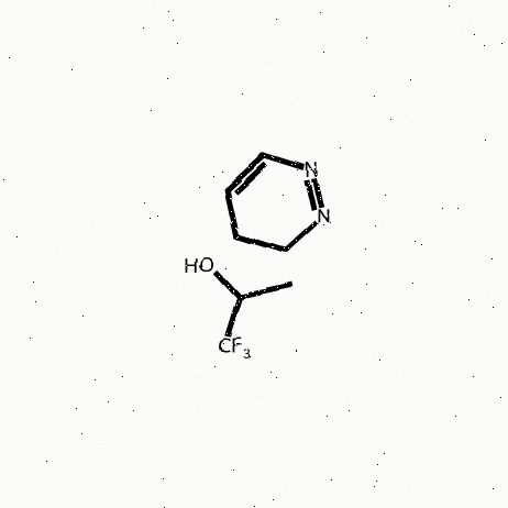 C1=CN=NCC1.CC(O)C(F)(F)F